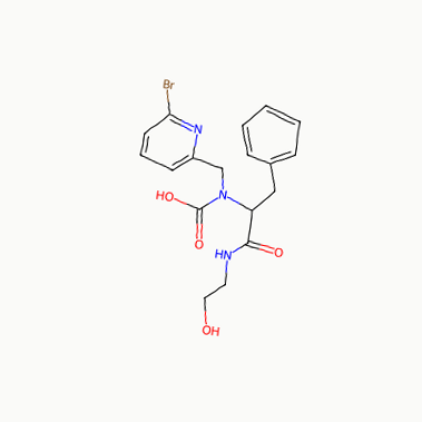 O=C(NCCO)C(Cc1ccccc1)N(Cc1cccc(Br)n1)C(=O)O